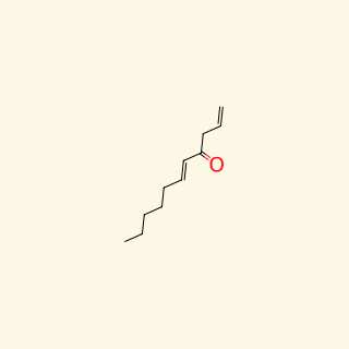 C=CCC(=O)C=CCCCCC